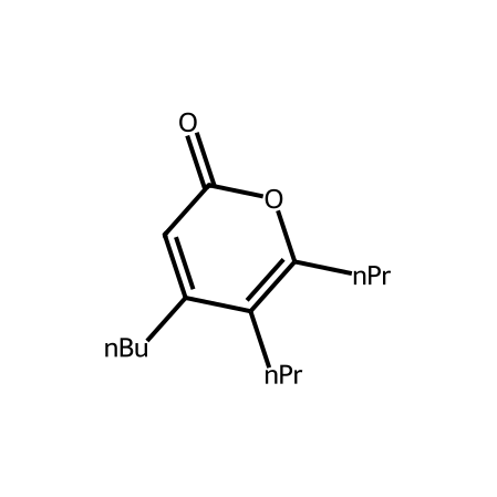 CCCCc1cc(=O)oc(CCC)c1CCC